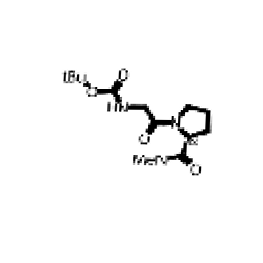 CNC(=O)[C@@H]1CCCN1C(=O)CNC(=O)OC(C)(C)C